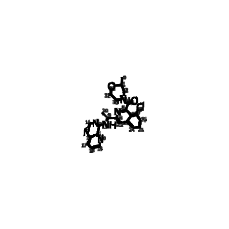 CC1CN(C(=O)c2nc([C@H](C)Nc3ncnc4cccnc34)cc3cccc(Cl)c23)CCO1